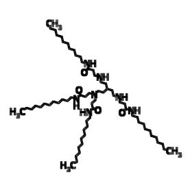 CCCCCCCCCCCCNC(=O)CCNCCC(CCNCCC(=O)NCCCCCCCCCCCC)CCN(CCC(=O)NCCCCCCCCCCCC)CCC(=O)NCCCCCCCCCCCC